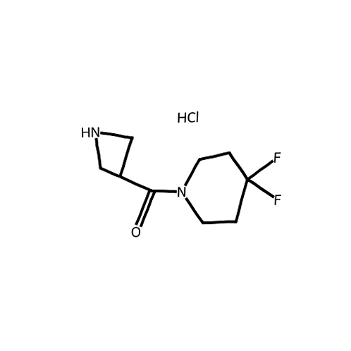 Cl.O=C(C1CNC1)N1CCC(F)(F)CC1